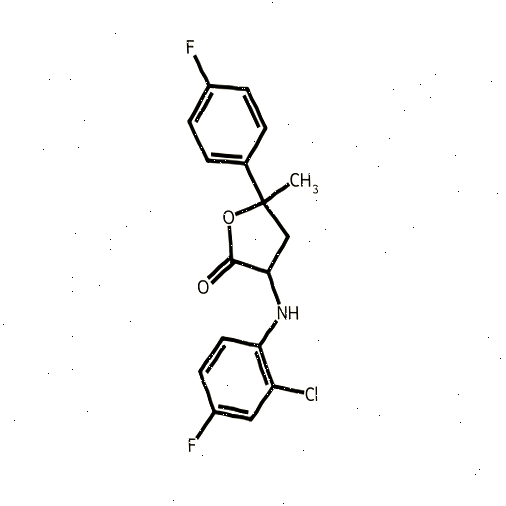 CC1(c2ccc(F)cc2)CC(Nc2ccc(F)cc2Cl)C(=O)O1